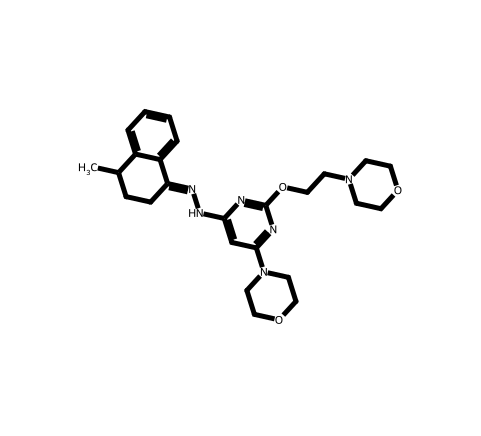 CC1CC/C(=N\Nc2cc(N3CCOCC3)nc(OCCN3CCOCC3)n2)c2ccccc21